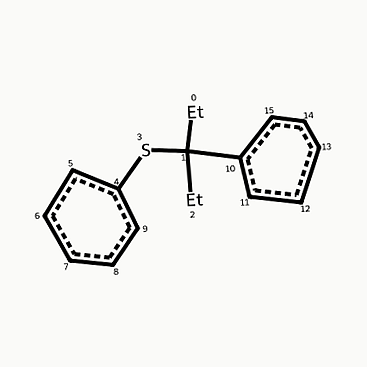 CCC(CC)(Sc1ccccc1)c1ccccc1